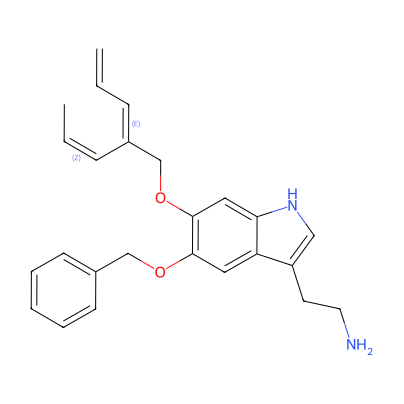 C=C/C=C(\C=C/C)COc1cc2[nH]cc(CCN)c2cc1OCc1ccccc1